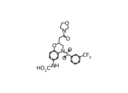 O=C(O)Nc1ccc2c(c1)N(S(=O)(=O)c1cccc(C(F)(F)F)c1)CC(CC(=O)N1CCOC1)O2